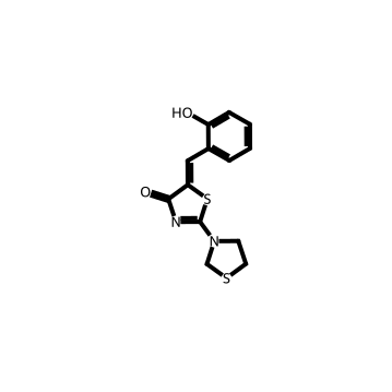 O=C1N=C(N2CCSC2)S/C1=C\c1ccccc1O